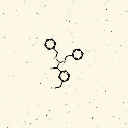 O=C(c1cc(CO)ccn1)N(OCc1ccccc1)OCc1ccccc1